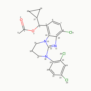 CC(=O)OC(c1ccc(Cl)c2nc3n(c12)CCCN3c1ccc(Cl)cc1Cl)C1CC1